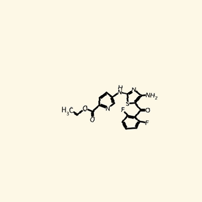 CCOC(=O)c1ccc(Nc2nc(N)c(C(=O)c3c(F)cccc3F)s2)cn1